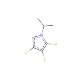 CC(C)n1cc(F)c(F)c1F